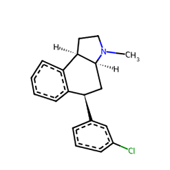 CN1CC[C@@H]2c3ccccc3[C@H](c3cccc(Cl)c3)C[C@@H]21